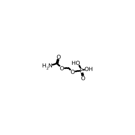 NC(=O)OCOP(=O)(O)O